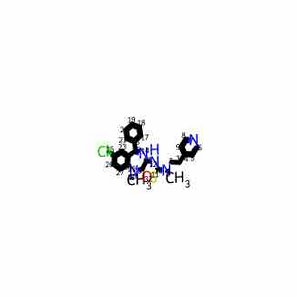 CN(CCc1ccncc1)C(=S)NC1N=C(c2ccccc2)c2cc(Cl)ccc2N(C)C1=O